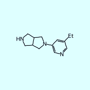 CCc1cncc(N2CC3CNCC3C2)c1